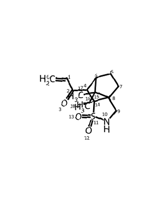 C=CC(=O)C1C2CCC3(CNS(=O)(=O)[C@H]13)C2(C)C